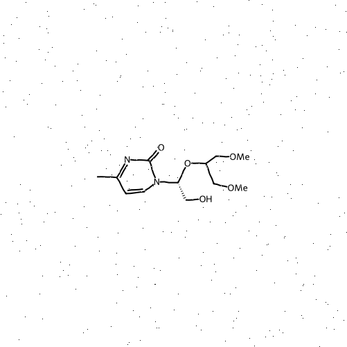 COCC(COC)O[C@H](CO)n1ccc(C)nc1=O